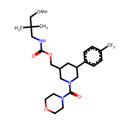 COCC(C)(C)CNC(=O)OCC1CC(c2ccc(C(F)(F)F)cc2)CN(C(=O)N2CCOCC2)C1